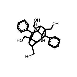 OCC12C3NC4C(CO)(C5NC1C3(CO)C(c1ccccc1)C45CO)C2c1ccccc1